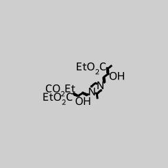 CCOC(=O)C(C(=O)OCC)=C(O)/C=C/N1CCN(/C=C/C(O)=C(/C)C(=O)OCC)CC1C